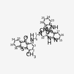 Cc1ccc(NCCN(C)CCNc2ncccc2C(=O)Nc2ccccc2N)c2c(=O)c3ccccc3sc12